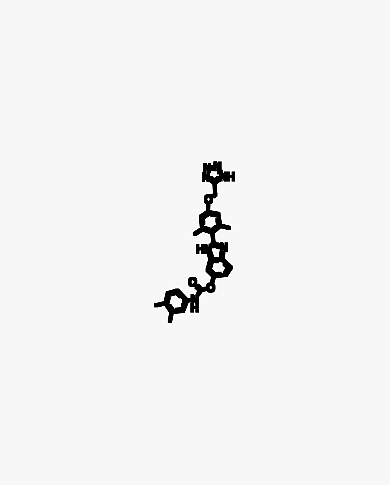 Cc1ccc(NC(=O)Oc2ccc3nc(-c4c(C)cc(OCc5nnn[nH]5)cc4C)[nH]c3c2)cc1C